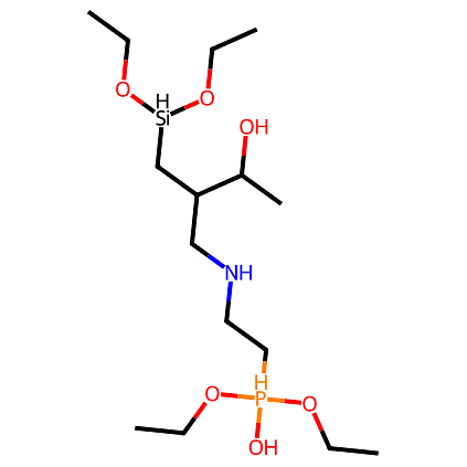 CCO[SiH](CC(CNCC[PH](O)(OCC)OCC)C(C)O)OCC